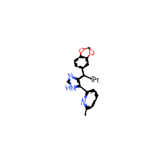 Cc1cccc(-c2[nH]cnc2C(c2ccc3c(c2)OCO3)C(C)C)n1